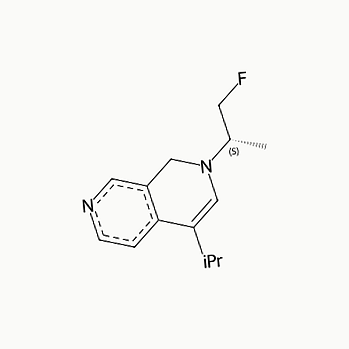 CC(C)C1=CN([C@@H](C)CF)Cc2cnccc21